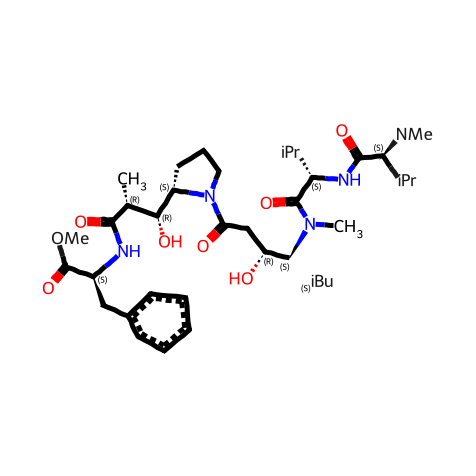 CC[C@H](C)[C@@H]([C@H](O)CC(=O)N1CCC[C@H]1[C@H](O)[C@@H](C)C(=O)N[C@@H](Cc1ccccc1)C(=O)OC)N(C)C(=O)[C@@H](NC(=O)[C@@H](NC)C(C)C)C(C)C